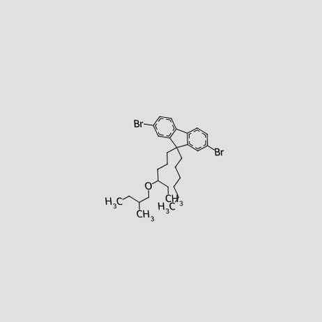 CCCCCCC1(CCCC(CC)OCC(C)CC)c2cc(Br)ccc2-c2ccc(Br)cc21